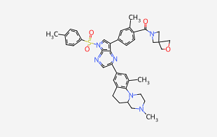 Cc1ccc(S(=O)(=O)n2cc(-c3ccc(C(=O)N4CC5(COC5)C4)c(C)c3)c3nc(-c4cc(C)c5c(c4)CCC4CN(C)CCN54)cnc32)cc1